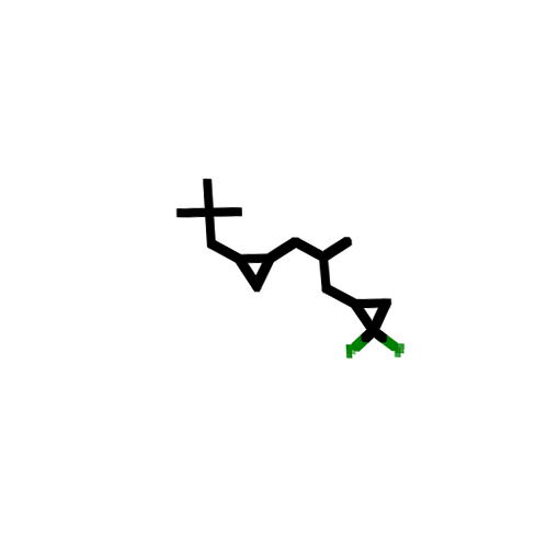 CC(CC1CC1CC(C)(C)C)CC1CC1(F)F